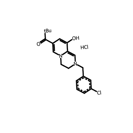 CC(C)(C)C(=O)C1=CN2CCN(Cc3cccc(Cl)c3)C=C2C(O)=C1.Cl